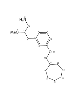 COC(CN)Cc1cccc(OCC2CCCCCC2)c1